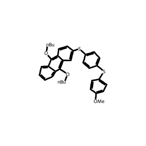 CCCCOc1c2ccccc2c(OCCCC)c2cc(Sc3ccc(Sc4ccc(OC)cc4)cc3)ccc12